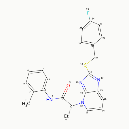 CC[C@H](C(=O)Nc1ccccc1C)n1cccc2nc(SCc3ccc(F)cc3)nc1-2